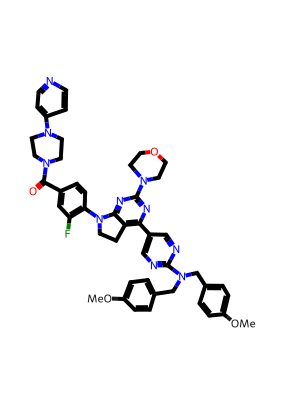 COc1ccc(CN(Cc2ccc(OC)cc2)c2ncc(-c3nc(N4CCOCC4)nc4c3CCN4c3ccc(C(=O)N4CCN(c5ccncc5)CC4)cc3F)cn2)cc1